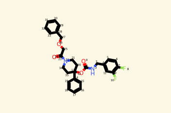 O=C(NCc1ccc(F)c(F)c1)OC1(c2ccccc2)CCN(C(=O)COCc2ccccc2)CC1